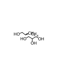 C.C=CCO.OCC(O)CO